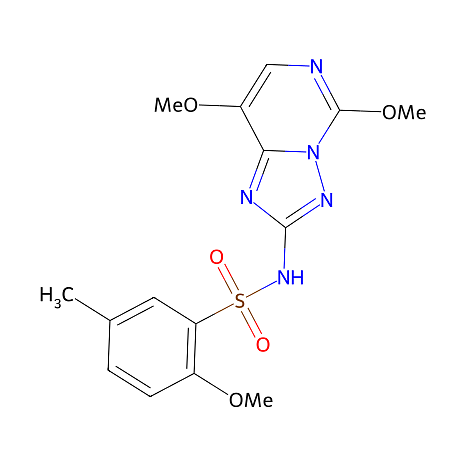 COc1ccc(C)cc1S(=O)(=O)Nc1nc2c(OC)cnc(OC)n2n1